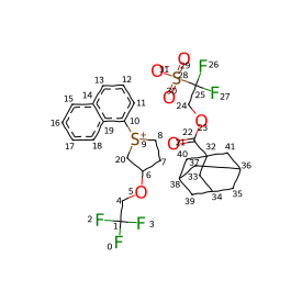 FC(F)(F)COC1CC[S+](c2cccc3ccccc23)C1.O=C(OCC(F)(F)S(=O)(=O)[O-])C12CC3CC(CC(C3)C1)C2